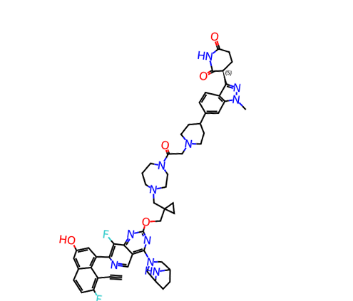 C#Cc1c(F)ccc2cc(O)cc(-c3ncc4c(N5CC6CCC(C5)N6)nc(OCC5(CN6CCCN(C(=O)CN7CCC(c8ccc9c([C@@H]%10CCC(=O)NC%10=O)nn(C)c9c8)CC7)CC6)CC5)nc4c3F)c12